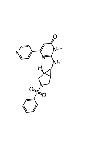 Cn1c(N[C@H]2C3CN(S(=O)(=O)c4ccccc4)C[C@@H]32)nc(-c2ccncc2)cc1=O